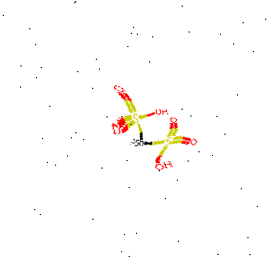 O=[S](=O)(O)[1Sn][S](=O)(=O)O